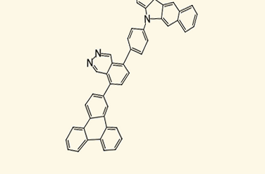 c1ccc2cc3c(cc2c1)c1ccccc1n3-c1ccc(-c2ccc(-c3ccc4c5ccccc5c5ccccc5c4c3)c3cnncc23)cc1